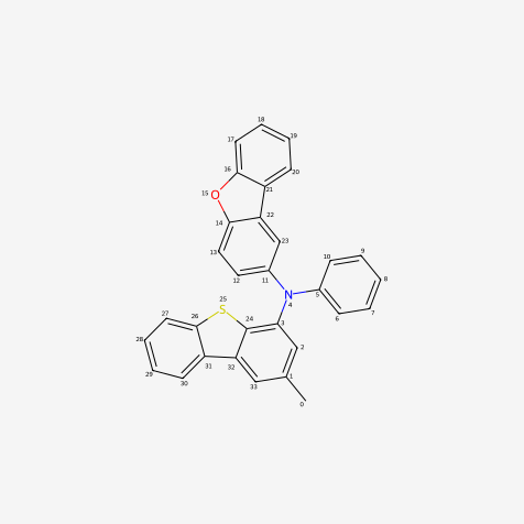 Cc1cc(N(c2ccccc2)c2ccc3oc4ccccc4c3c2)c2sc3ccccc3c2c1